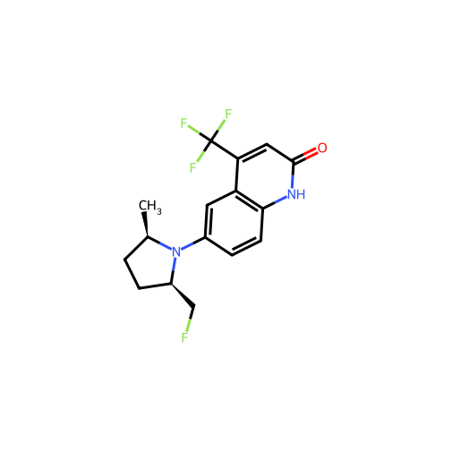 C[C@@H]1CC[C@H](CF)N1c1ccc2[nH]c(=O)cc(C(F)(F)F)c2c1